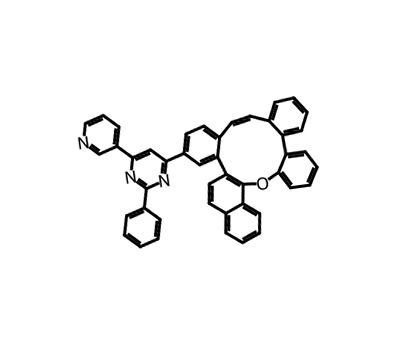 C1=C\c2ccc(-c3cc(-c4cccnc4)nc(-c4ccccc4)n3)cc2-c2ccc3ccccc3c2Oc2ccccc2-c2ccccc2/1